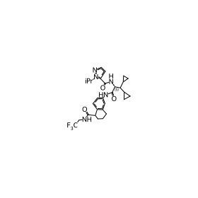 CC(C)n1nccc1C(=O)N[C@H](C(=O)Nc1ccc2c(c1)CCCC2C(=O)NCC(F)(F)F)C(C1CC1)C1CC1